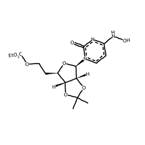 CCOC(=O)OCC[C@H]1O[C@@H](n2ccc(NO)nc2=O)[C@@H]2OC(C)(C)O[C@@H]21